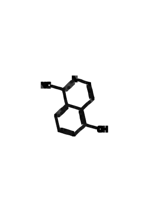 N#Cc1nccc2c(O)cccc12